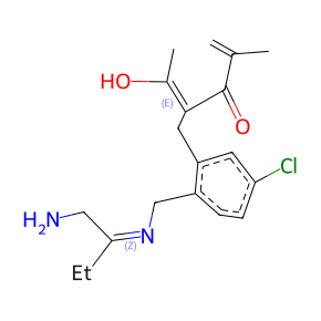 C=C(C)C(=O)/C(Cc1cc(Cl)ccc1C/N=C(/CC)CN)=C(\C)O